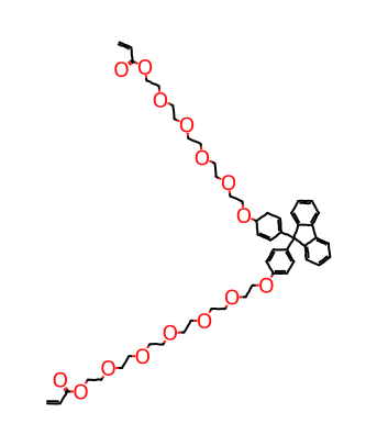 C=CC(=O)OCCOCCOCCOCCOCCOCCOc1ccc(C2(C3=CCC(OCCOCCOCCOCCOCCOC(=O)C=C)C=C3)c3ccccc3-c3ccccc32)cc1